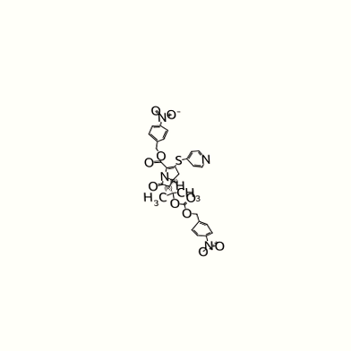 CC(C)(OC(=O)OCc1ccc([N+](=O)[O-])cc1)[C@@H]1C(=O)N2C(C(=O)OCc3ccc([N+](=O)[O-])cc3)=C(Sc3ccncc3)C[C@H]12